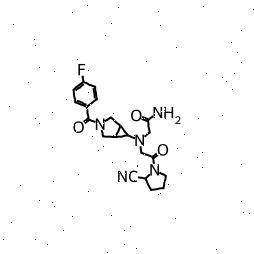 N#CC1CCCN1C(=O)CN(CC(N)=O)C1C2CN(C(=O)c3ccc(F)cc3)CC21